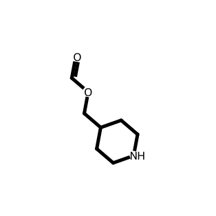 O=COCC1CCNCC1